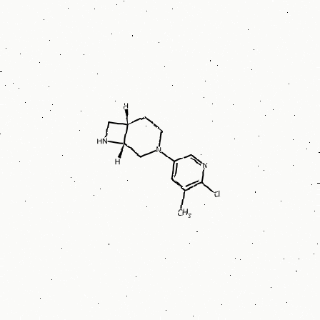 Cc1cc(N2CC[C@H]3CN[C@H]3C2)cnc1Cl